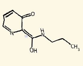 CCCN/C(O)=C1/N=CC=CC1=O